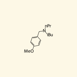 CCCN(Cc1ccc(OC)cc1)C(C)CC